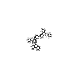 c1ccc(Cc2cc3ccccc3c3cc(-c4ccc5oc6c(-c7ccccc7)nc(C7Cc8ccccc8-c8ccccc87)nc6c5c4)ccc23)cc1